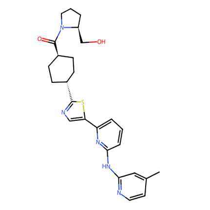 Cc1ccnc(Nc2cccc(-c3cnc([C@H]4CC[C@H](C(=O)N5CCC[C@H]5CO)CC4)s3)n2)c1